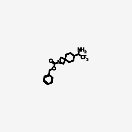 NC(C1CCC2(CC1)CN(C(=O)OCc1ccccc1)C2)C(F)(F)F